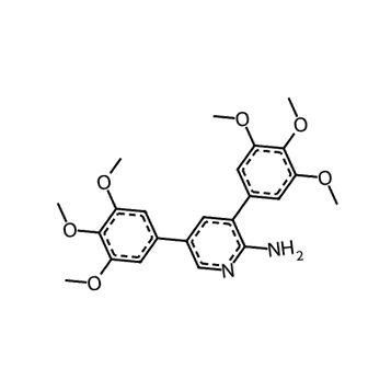 COc1cc(-c2cnc(N)c(-c3cc(OC)c(OC)c(OC)c3)c2)cc(OC)c1OC